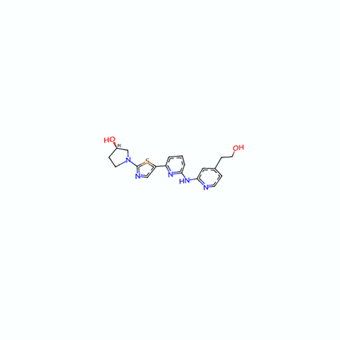 OCCc1ccnc(Nc2cccc(-c3cnc(N4CC[C@@H](O)C4)s3)n2)c1